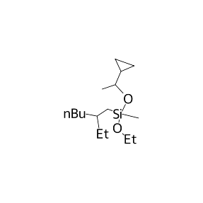 CCCCC(CC)C[Si](C)(OCC)OC(C)C1CC1